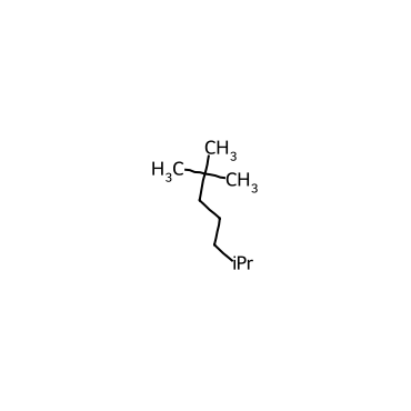 [CH2]C(C)CCCC(C)(C)C